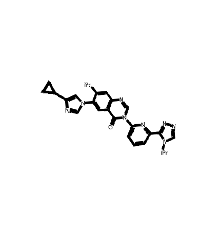 CC(C)c1cc2ncn(-c3cccc(-c4nncn4C(C)C)n3)c(=O)c2cc1-n1cnc(C2CC2)c1